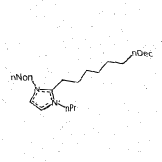 CCCCCCCCCCCCCCCCc1n(CCCCCCCCC)cc[n+]1CCC